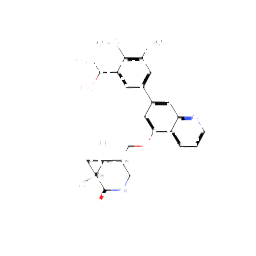 COc1cc(-c2cc(OC[C@H]3CNC(=O)[C@@H]4C[C@@H]34)c3cccnc3c2)cc(C(C)O)c1OC